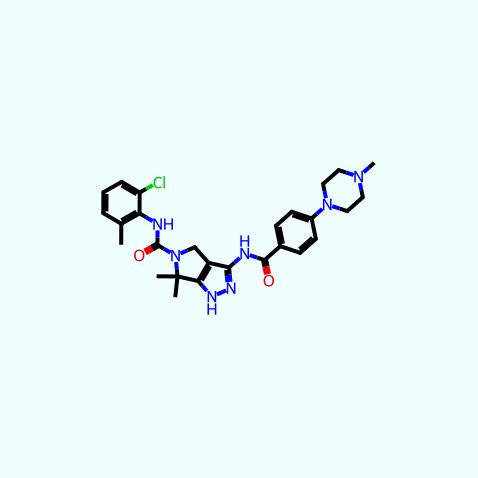 Cc1cccc(Cl)c1NC(=O)N1Cc2c(NC(=O)c3ccc(N4CCN(C)CC4)cc3)n[nH]c2C1(C)C